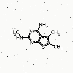 CNc1nc(N)c2c(C)c(C)sc2n1